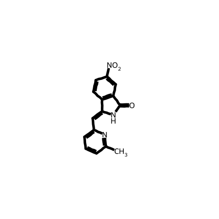 Cc1cccc(C=C2NC(=O)c3cc([N+](=O)[O-])ccc32)n1